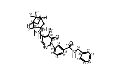 C[C@@H]1[C@H]2C[C@@H](C[C@H]1Nc1cnn(-c3cccc(C(=O)NCc4ccncc4)c3)c(=O)c1Br)C2(C)C